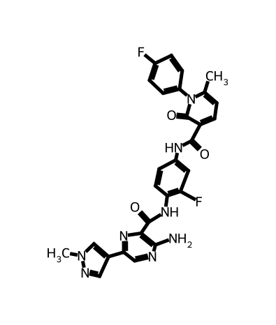 Cc1ccc(C(=O)Nc2ccc(NC(=O)c3nc(-c4cnn(C)c4)cnc3N)c(F)c2)c(=O)n1-c1ccc(F)cc1